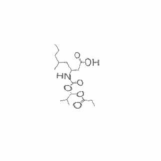 CCCC(C)CC(CC(=O)O)NC(=O)O[C@H](OC(=O)CC)C(C)C